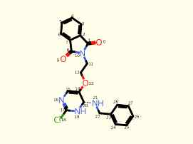 O=C1c2ccccc2C(=O)N1CCOC1=CN=C(Cl)N[C@H]1NCc1ccccc1